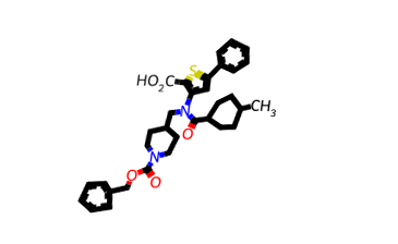 CC1CCC(C(=O)N(CC2CCN(C(=O)OCc3ccccc3)CC2)c2cc(-c3ccccc3)sc2C(=O)O)CC1